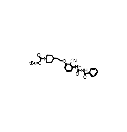 CC(C)(C)OC(=O)N1CCC(CCOc2cccc(NC(=O)NC(=O)c3ccccc3)c2C#N)CC1